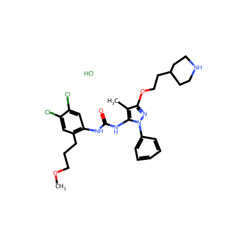 COCCCc1cc(Cl)c(Cl)cc1NC(=O)Nc1c(C)c(OCCC2CCNCC2)nn1-c1ccccc1.Cl